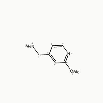 CNCc1ccnc(OC)c1